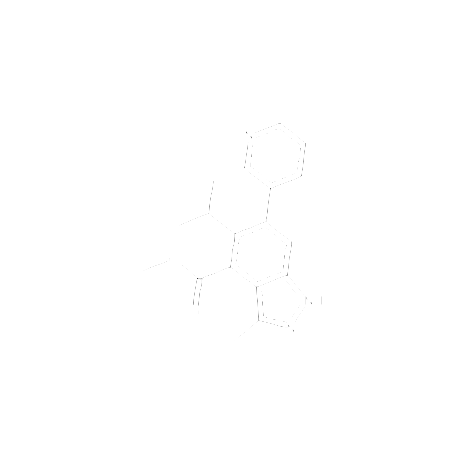 COC(=O)c1c(C(C)C)c(-c2cccnc2)cc2[nH]nc(C)c12